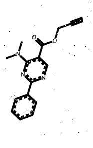 C#CCOC(=O)c1cnc(-c2ccccc2)nc1N(C)C